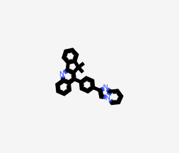 CC1(C)c2ccccc2-c2nc3ccccc3c(-c3ccc(-c4cn5ccccc5n4)cc3)c21